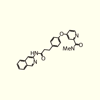 CNC(=O)c1cc(Oc2ccc(CCC(=O)Nc3cc4ccccc4cn3)cc2)ccn1